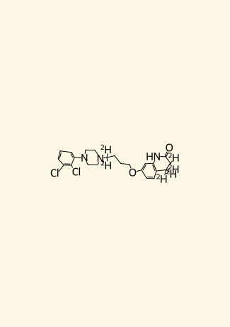 [2H]C([2H])(CCCOc1ccc2c(c1)NC(=O)C([2H])([2H])C2([2H])[2H])N1CCN(c2cccc(Cl)c2Cl)CC1